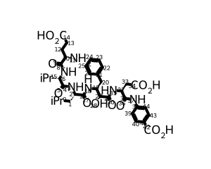 CC(C)C[C@H](NC(=O)[C@@H](NC(=O)[C@@H](N)CCC(=O)O)C(C)C)C(=O)N[C@@H](Cc1ccccc1)[C@@H](O)C(=O)N[C@@H](CC(=O)O)C(=O)Nc1ccc(C(=O)O)cc1